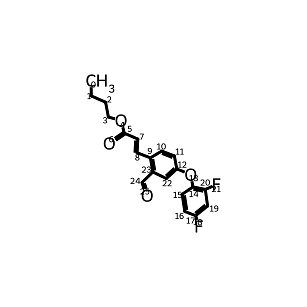 CCCCOC(=O)/C=C/c1ccc(Oc2ccc(F)cc2F)cc1C=O